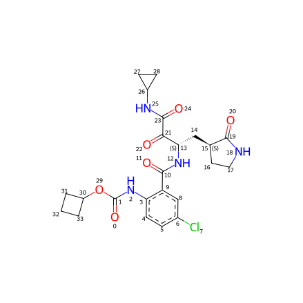 O=C(Nc1ccc(Cl)cc1C(=O)N[C@@H](C[C@@H]1CCNC1=O)C(=O)C(=O)NC1CC1)OC1CCC1